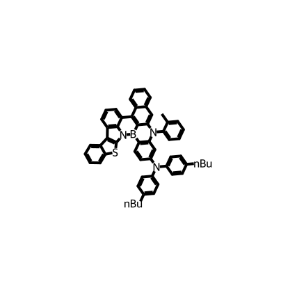 CCCCc1ccc(N(c2ccc(CCCC)cc2)c2ccc3c(c2)N(c2ccccc2C)c2cc4ccccc4c4c2B3n2c3sc5ccccc5c3c3cccc-4c32)cc1